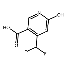 O=C(O)c1cnc(O)cc1C(F)F